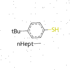 CC(C)(C)c1ccc(S)cc1.CCCCCCCC